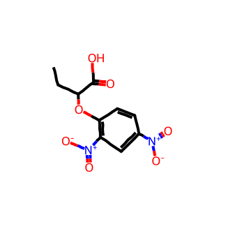 CCC(Oc1ccc([N+](=O)[O-])cc1[N+](=O)[O-])C(=O)O